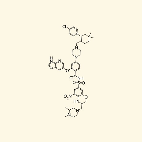 CC1CN(CC2COc3cc(S(=O)(=O)NC(=O)c4ccc(N5CCN(CC6=C(c7ccc(Cl)cc7)CC(C)(C)CC6)CC5)cc4Oc4cnc5[nH]ccc5c4)cc([N+](=O)[O-])c3N2)CCN1C